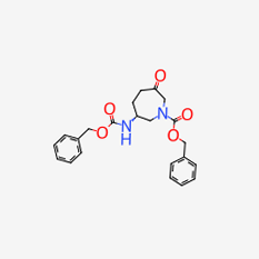 O=C1CC[C@H](NC(=O)OCc2ccccc2)CN(C(=O)OCc2ccccc2)C1